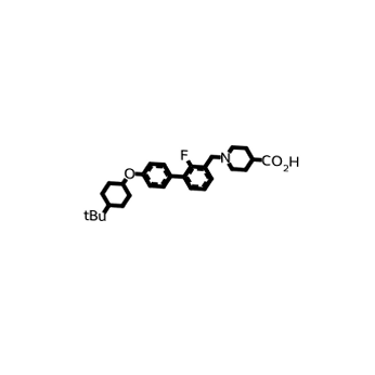 CC(C)(C)C1CCC(Oc2ccc(-c3cccc(CN4CCC(C(=O)O)CC4)c3F)cc2)CC1